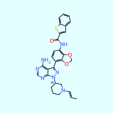 CC=CN1CCC[C@@H](n2nc(-c3ccc(NC(=O)c4cc5ccccc5s4)c4c3OCO4)c3c(N)ncnc32)C1